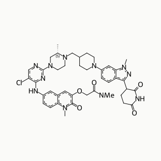 CNC(=O)COc1cc2cc(Nc3nc(N4CCN(CC5CCN(c6ccc7c(C8CCC(=O)NC8=O)nn(C)c7c6)CC5)[C@@H](C)C4)ncc3Cl)ccc2n(C)c1=O